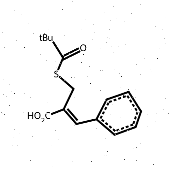 CC(C)(C)C(=O)SCC(=Cc1ccccc1)C(=O)O